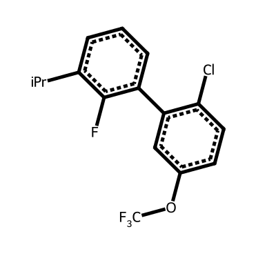 CC(C)c1cccc(-c2cc(OC(F)(F)F)ccc2Cl)c1F